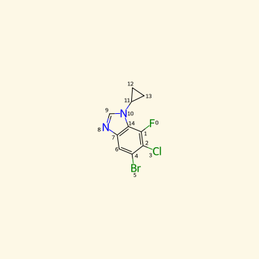 Fc1c(Cl)c(Br)cc2ncn(C3CC3)c12